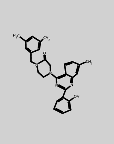 Cc1cc(C)cc(CN2CCN(c3nc(-c4ccccc4O)nc4cc(C)ccc34)CC2=O)c1